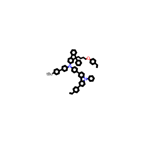 C=Cc1ccc(OCCCCC2(c3ccccc3)c3ccccc3-c3ccc(N(c4ccc(-c5ccc(C(C)(C)C)cc5)cc4)c4ccc(-c5ccc6c(c5)c5cc(-c7ccc(C=C)cc7)ccc5n6-c5ccccc5)cc4)cc32)cc1